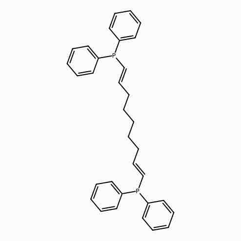 C(=CP(c1ccccc1)c1ccccc1)CCCCCC=CP(c1ccccc1)c1ccccc1